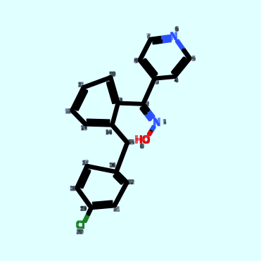 ON=C(c1ccncc1)c1ccccc1Cc1ccc(Cl)cc1